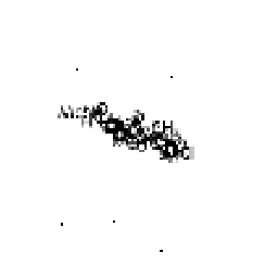 CNC(=O)Nc1ccc2c(c1)CCC21OC(=O)N(CC(=O)N(Cc2ccc(Cl)cc2)[C@@H](C)C(F)(F)F)C1=O